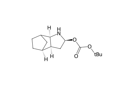 CC(C)(C)OC(=O)O[C@H]1C[C@H]2[C@H]3CCC(C3)[C@H]2N1